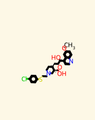 COc1ccc2nccc([C@H](O)CC[C@@H]3CCN(CCSc4ccc(Cl)cc4)C[C@@H]3C(=O)O)c2c1